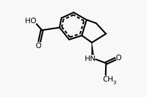 CC(=O)N[C@@H]1CCc2ccc(C(=O)O)cc21